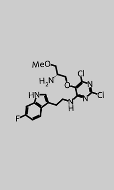 COC[C@@H](N)COc1c(Cl)nc(Cl)nc1NCCc1c[nH]c2cc(F)ccc12